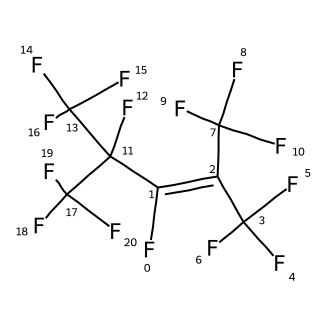 FC(=C(C(F)(F)F)C(F)(F)F)C(F)(C(F)(F)F)C(F)(F)F